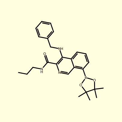 CCCNC(=O)c1ncc2c(B3OC(C)(C)C(C)(C)O3)cccc2c1NCc1ccccc1